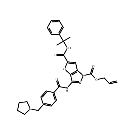 C=CCOC(=O)n1nc(NC(=O)c2ccc(CN3CCCC3)cc2)c2oc(C(=O)NC(C)(C)c3ccccc3)cc21